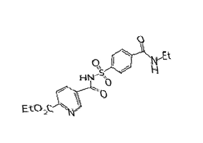 CCNC(=O)c1ccc(S(=O)(=O)NC(=O)c2ccc(C(=O)OCC)nc2)cc1